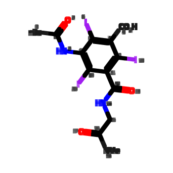 CCCCC(=O)Nc1c(I)c(C(=O)O)c(I)c(C(=O)NCC(=O)NC)c1I